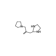 C=C(CC1NCCN1)CN1CCCC1